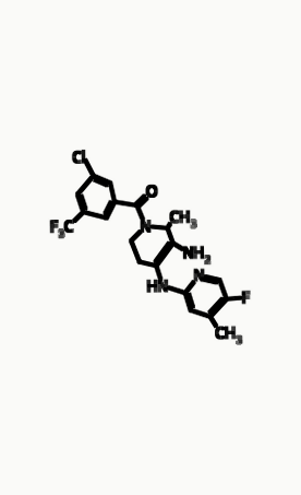 Cc1cc(NC2=C(N)C(C)N(C(=O)c3cc(Cl)cc(C(F)(F)F)c3)CC2)ncc1F